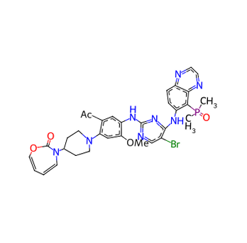 COc1cc(N2CCC(N3C=CC=COC3=O)CC2)c(C(C)=O)cc1Nc1ncc(Br)c(Nc2ccc3nccnc3c2P(C)(C)=O)n1